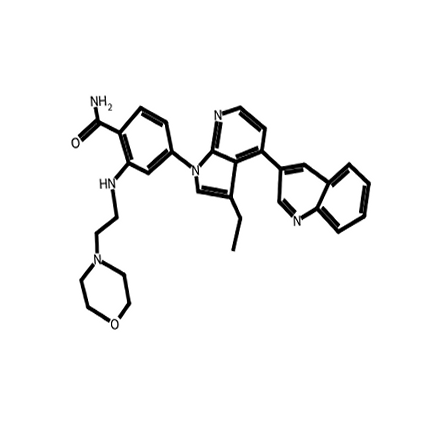 CCc1cn(-c2ccc(C(N)=O)c(NCCN3CCOCC3)c2)c2nccc(-c3cnc4ccccc4c3)c12